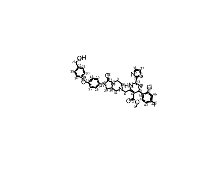 COC(=O)C1=C(CN2CCN3C(=O)N(c4ccc(Oc5ccc(CO)cc5)cc4)CC3C2)NC(c2nccs2)=NC1c1ccc(F)cc1Cl